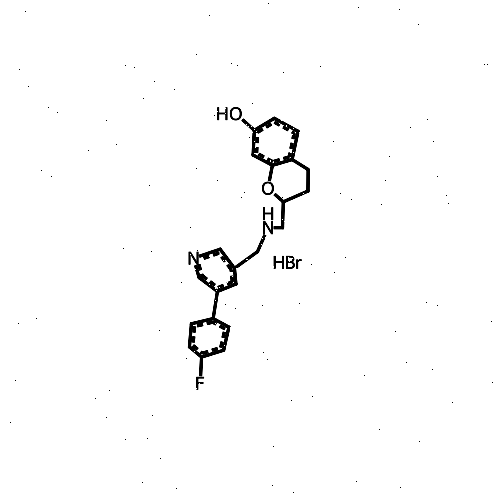 Br.Oc1ccc2c(c1)OC(CNCc1cncc(-c3ccc(F)cc3)c1)CC2